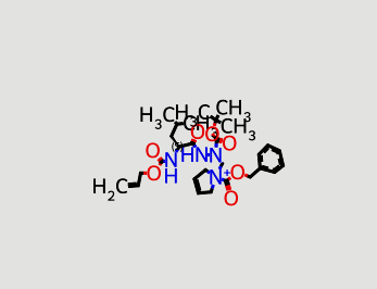 C=CCOC(=O)N[C@@H](CC(C)C)C(=O)NN(C[N+]1(C(=O)OCc2ccccc2)CC=CC1)C(=O)OC(C)(C)C